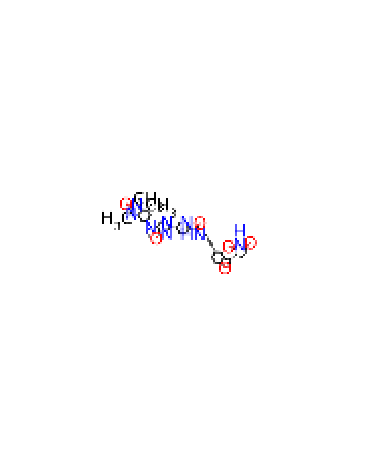 Cc1cc(N2CCOc3nc(-c4ccc(C(=O)NCC#Cc5ccc6occ(C7CCC(=O)NC7=O)c6c5)nc4)ncc32)cc2c1n(C)c(=O)n2C